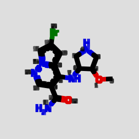 COC1CNCC1Nc1c(C(N)=O)cnn2cc(Br)cc12